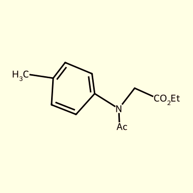 CCOC(=O)CN(C(C)=O)c1ccc(C)cc1